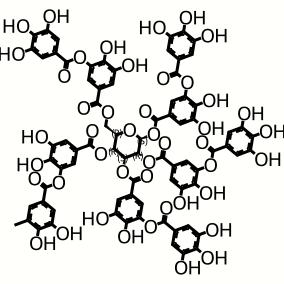 Cc1cc(C(=O)Oc2cc(C(=O)O[C@H]3[C@H](OC(=O)c4cc(O)c(O)c(OC(=O)c5cc(O)c(O)c(O)c5)c4)[C@@H](OC(=O)c4cc(O)c(O)c(OC(=O)c5cc(O)c(O)c(O)c5)c4)[C@H](OC(=O)c4cc(O)c(O)c(OC(=O)c5cc(O)c(O)c(O)c5)c4)O[C@@H]3COC(=O)c3cc(O)c(O)c(OC(=O)c4cc(O)c(O)c(O)c4)c3)cc(O)c2O)cc(O)c1O